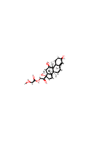 COCC(=O)OCC(=O)[C@@]1(O)CC[C@H]2[C@@H]3CCC4=CC(=O)CC[C@]4(C)[C@H]3C(O)C[C@@]21C